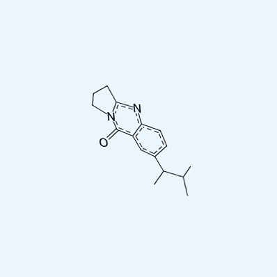 CC(C)C(C)c1ccc2nc3n(c(=O)c2c1)CCC3